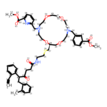 C#Cc1ccccc1C(Cc1ccccc1C)C(=O)CCC(=O)NCCSC[C@@H]1COCCN(Cc2cccc(C(=O)OC)c2)CCOCCOCCN(Cc2cccc(C(=O)OC)n2)CCO1